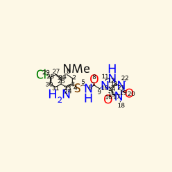 CNCC/C(SCNC(=O)CN1CNc2c1c(=O)n(C)c(=O)n2C)=C(/N)C1C=CC(Cl)=CC1